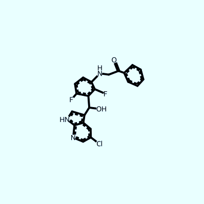 O=C(CNc1ccc(F)c(C(O)c2c[nH]c3ncc(Cl)cc23)c1F)c1ccccc1